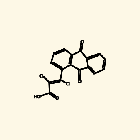 O=C(O)C(Cl)=C(Cl)c1cccc2c1C(=O)c1ccccc1C2=O